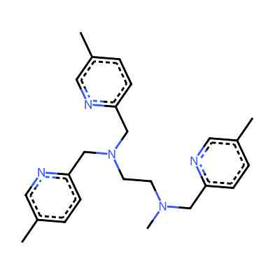 Cc1ccc(CN(C)CCN(Cc2ccc(C)cn2)Cc2ccc(C)cn2)nc1